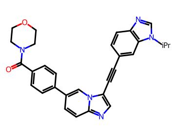 CC(C)n1cnc2ccc(C#Cc3cnc4ccc(-c5ccc(C(=O)N6CCOCC6)cc5)cn34)cc21